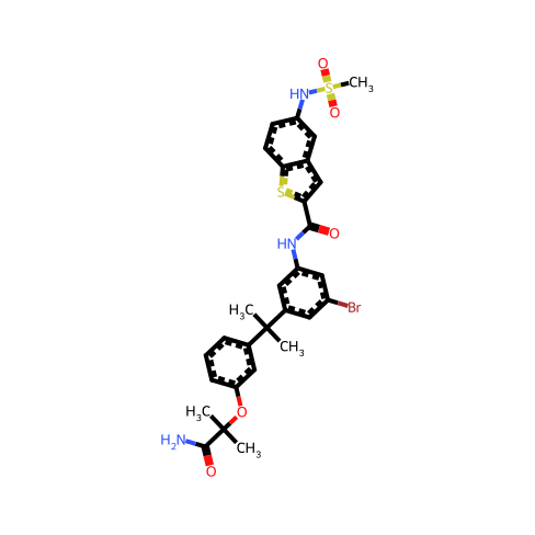 CC(C)(Oc1cccc(C(C)(C)c2cc(Br)cc(NC(=O)c3cc4cc(NS(C)(=O)=O)ccc4s3)c2)c1)C(N)=O